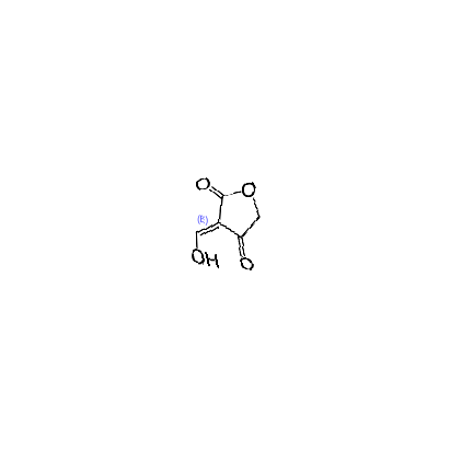 O=C1COC(=O)/C1=C/O